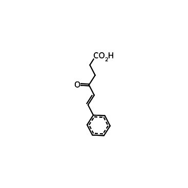 O=C(O)CCC(=O)/C=C/c1ccccc1